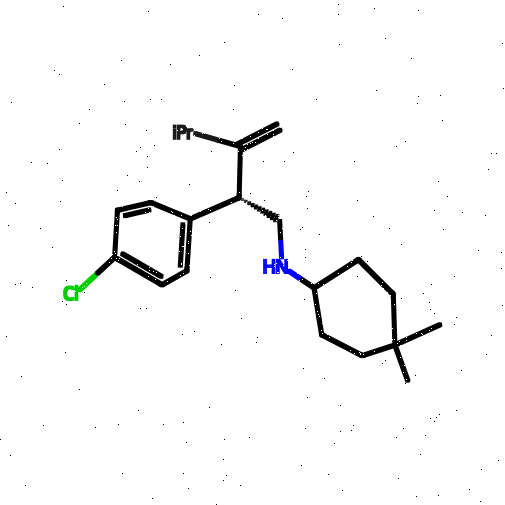 C=C(C(C)C)[C@H](CNC1CCC(C)(C)CC1)c1ccc(Cl)cc1